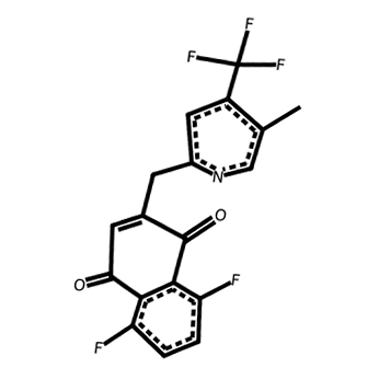 Cc1cnc(CC2=CC(=O)c3c(F)ccc(F)c3C2=O)cc1C(F)(F)F